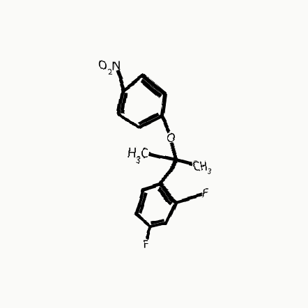 CC(C)(Oc1ccc([N+](=O)[O-])cc1)c1ccc(F)cc1F